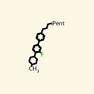 CCCC(C)CCCc1ccc(-c2ccc(C3CCC(C)CC3)c(F)c2)cc1